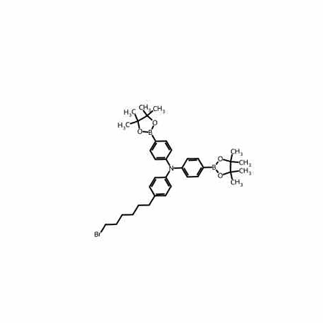 CC1(C)OB(c2ccc(N(c3ccc(CCCCCCBr)cc3)c3ccc(B4OC(C)(C)C(C)(C)O4)cc3)cc2)OC1(C)C